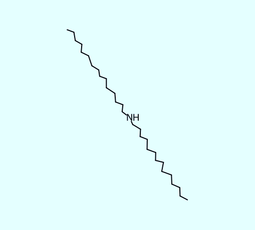 CCCCCCCCCCCCCCCNCCCCCCCCCCCCCC